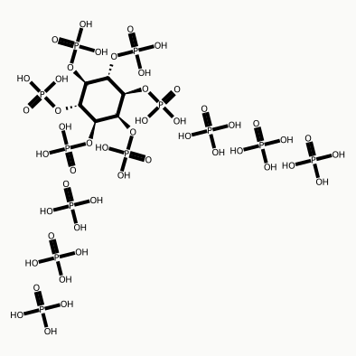 O=P(O)(O)O.O=P(O)(O)O.O=P(O)(O)O.O=P(O)(O)O.O=P(O)(O)O.O=P(O)(O)O.O=P(O)(O)O[C@H]1[C@H](OP(=O)(O)O)[C@@H](OP(=O)(O)O)[C@H](OP(=O)(O)O)[C@@H](OP(=O)(O)O)[C@H]1OP(=O)(O)O